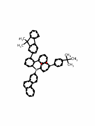 CC(C)(C)c1ccc(-c2ccc(N(c3ccc4c(ccc5ccccc54)c3)c3cccc(-c4ccc5c(c4)C(C)(C)c4ccccc4-5)c3-c3ccccc3)cc2)cc1